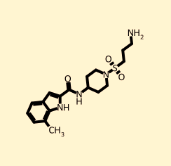 Cc1cccc2cc(C(=O)NC3CCN(S(=O)(=O)CCCN)CC3)[nH]c12